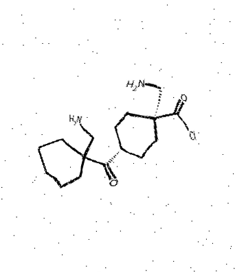 NCC1(C(=O)[C@H]2CC[C@](CN)(C(=O)Cl)CC2)CCCCC1